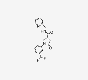 O=C(NCc1ccccn1)C1CC(=O)N(c2cccc(C(F)F)c2)C1